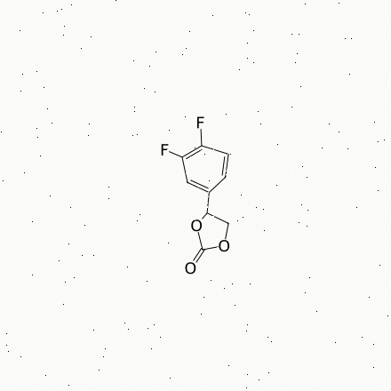 O=C1OCC(c2ccc(F)c(F)c2)O1